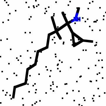 CCCCCCCCC(C)(C)C(C)(NC)C1CC1C